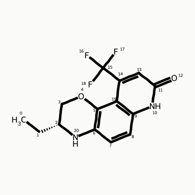 CC[C@@H]1COc2c(ccc3[nH]c(=O)cc(C(F)(F)F)c23)N1